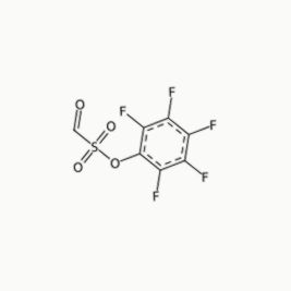 O=CS(=O)(=O)Oc1c(F)c(F)c(F)c(F)c1F